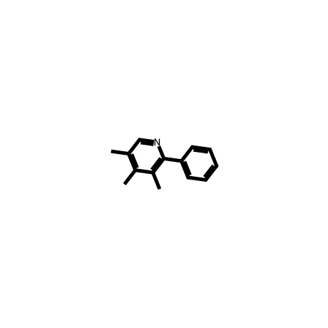 Cc1cnc(-c2ccccc2)c(C)c1C